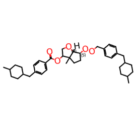 CC1CCC(Cc2ccc(COO[C@H]3CCC4(C)C(OC(=O)c5ccc(CC6CCC(C)CC6)cc5)CO[C@H]34)cc2)CC1